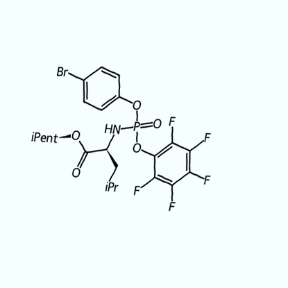 CCC[C@H](C)OC(=O)[C@H](CC(C)C)NP(=O)(Oc1ccc(Br)cc1)Oc1c(F)c(F)c(F)c(F)c1F